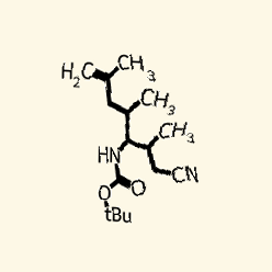 C=C(C)CC(C)C(NC(=O)OC(C)(C)C)C(C)CC#N